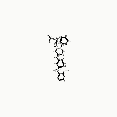 COc1ccccc1Nc1cccc(CN2CCN(c3ncccc3C(=O)OC(C)C)CC2)c1